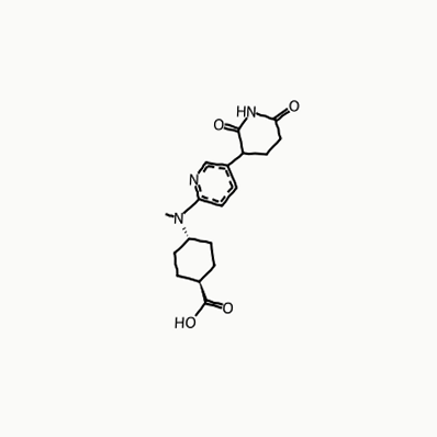 CN(c1ccc(C2CCC(=O)NC2=O)cn1)[C@H]1CC[C@H](C(=O)O)CC1